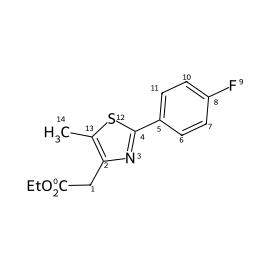 CCOC(=O)Cc1nc(-c2ccc(F)cc2)sc1C